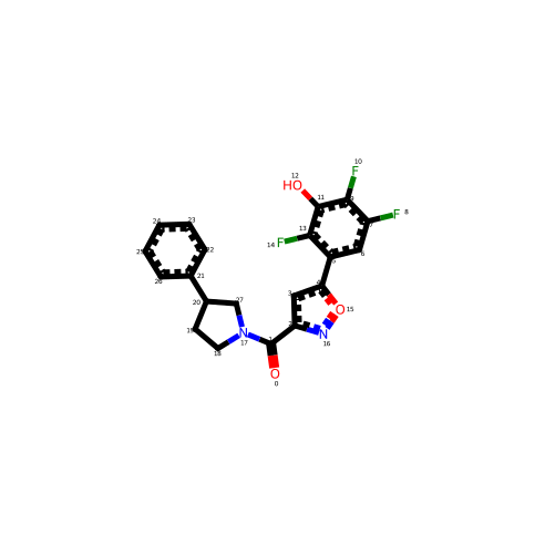 O=C(c1cc(-c2cc(F)c(F)c(O)c2F)on1)N1CCC(c2ccccc2)C1